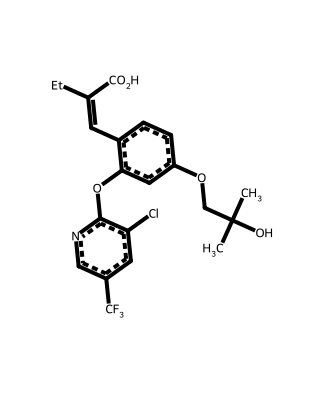 CCC(=Cc1ccc(OCC(C)(C)O)cc1Oc1ncc(C(F)(F)F)cc1Cl)C(=O)O